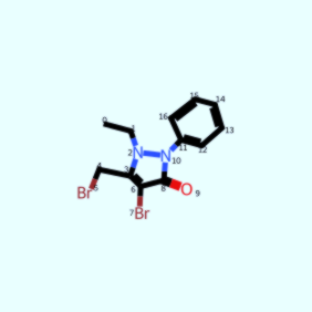 CCn1c(CBr)c(Br)c(=O)n1-c1ccccc1